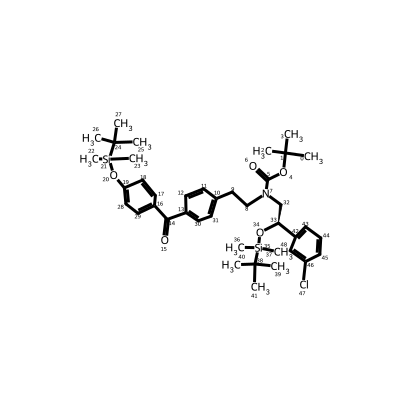 CC(C)(C)OC(=O)N(CCc1ccc(C(=O)c2ccc(O[Si](C)(C)C(C)(C)C)cc2)cc1)C[C@H](O[Si](C)(C)C(C)(C)C)c1cccc(Cl)c1